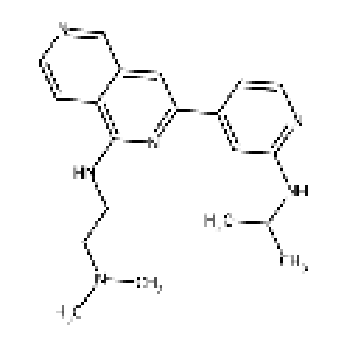 CC(C)Nc1cc(-c2cc3cnccc3c(NCCN(C)C)n2)ccn1